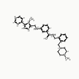 CN1CCN(Cc2ccccc2CNC(=O)c2cccc(NCc3nnc(-c4ccncn4)n3C)c2)CC1